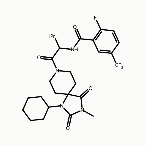 CC(C)C(NC(=O)c1cc(C(F)(F)F)ccc1F)C(=O)N1CCC2(CC1)C(=O)N(C)C(=O)N2C1CCCCC1